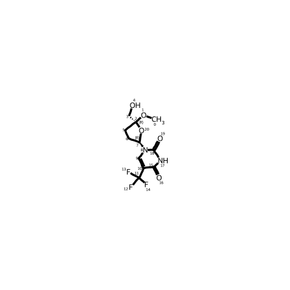 CO[C@]1(CO)CC[C@H](n2cc(C(F)(F)F)c(=O)[nH]c2=O)O1